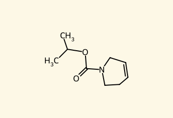 CC(C)OC(=O)N1CC=CCC1